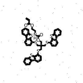 C=CC(=O)OCCNC(=O)OCC(CSc1cccc2c1sc1ccccc12)(CSc1cccc2c1sc1ccccc12)CSc1cccc2c1sc1ccccc12